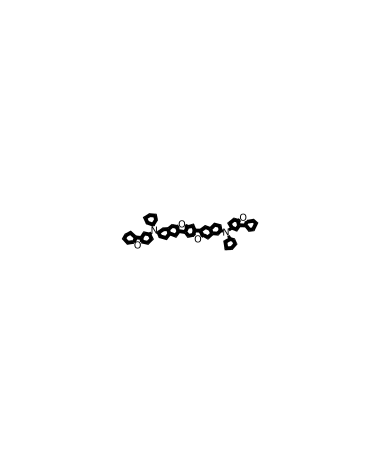 c1ccc(N(c2ccc3cc4c(cc3c2)oc2cc3c(cc24)oc2cc4cc(N(c5ccccc5)c5ccc6oc7ccccc7c6c5)ccc4cc23)c2ccc3oc4ccccc4c3c2)cc1